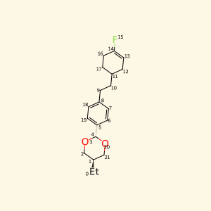 CC[C@H]1CO[C@H](c2ccc(CCC3CC=C(F)CC3)cc2)OC1